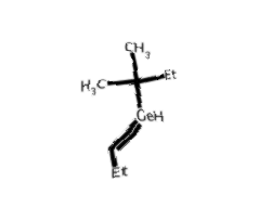 [CH2]C[CH]=[GeH][C](C)(C)CC